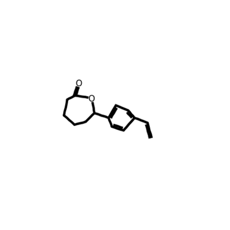 C=Cc1ccc(C2CCCCC(=O)O2)cc1